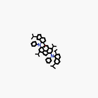 CC(C)c1ccc2ccc(C(C)C)c(N(c3ccccc3)c3cc(C(C)C)c4ccc5c(N(c6ccccc6)c6c(C(C)C)ccc7ccc(C(C)C)cc67)cc(C(C)C)c6ccc3c4c65)c2c1